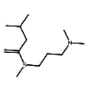 C=C(CC(C)C)B(C)CCCN(C)C